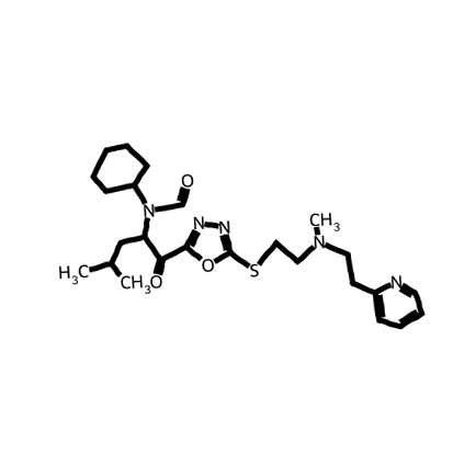 CC(C)CC(C(=O)c1nnc(SCCN(C)CCc2ccccn2)o1)N(C=O)C1CCCCC1